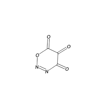 O=C1N=NOC(=O)C1=O